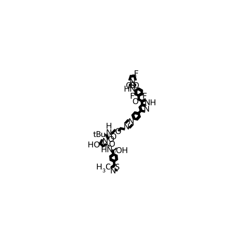 Cc1ncsc1-c1ccc([C@H](CO)NC(=O)[C@@H]2C[C@@H](O)CN2C(=O)[C@@H](NC(=O)COCCN2CCN(c3ccc(-c4cnc5[nH]cc(C(=O)c6c(F)ccc(NS(=O)(=O)N7CC[C@@H](F)C7)c6F)c5c4)cc3)CC2)C(C)(C)C)cc1